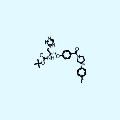 CC(C)(C)OC(=O)N[C@@H](COc1ccc(C(=O)N2CC[C@H](c3ccc(F)cc3)C2)cc1)Cn1ncnn1